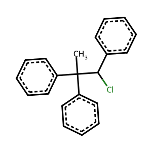 CC(c1ccccc1)(c1ccccc1)C(Cl)c1ccccc1